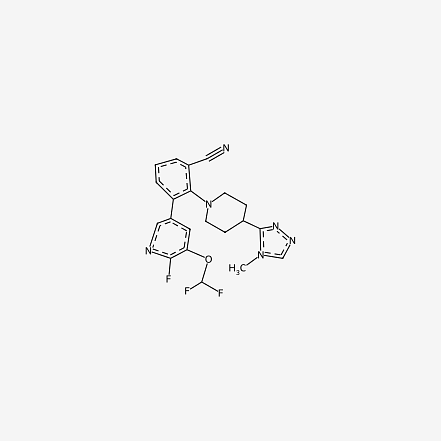 Cn1cnnc1C1CCN(c2c(C#N)cccc2-c2cnc(F)c(OC(F)F)c2)CC1